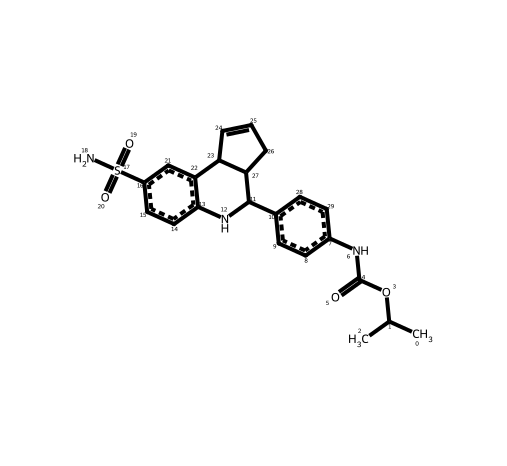 CC(C)OC(=O)Nc1ccc(C2Nc3ccc(S(N)(=O)=O)cc3C3C=CCC32)cc1